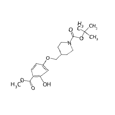 COC(=O)c1ccc(OCC2CCN(C(=O)OC(C)(C)C)CC2)cc1O